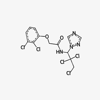 O=C(COc1cccc(Cl)c1Cl)NC(n1cncn1)C(Cl)(Cl)CCl